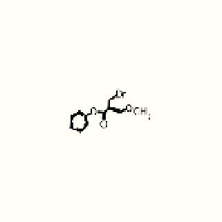 COC=C(CBr)C(=O)Oc1ccccc1